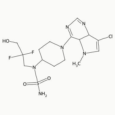 CN1C=C(Cl)C2N=CN=C(N3CCC(N(CC(F)(F)CO)S(N)(=O)=O)CC3)C21